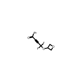 CC(C)C(=O)C#CC(F)(F)OC1COC1